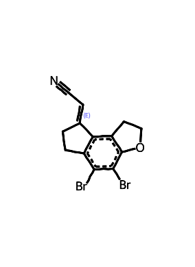 N#C/C=C1\CCc2c(Br)c(Br)c3c(c21)CCO3